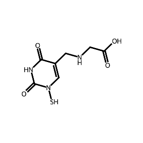 O=C(O)CNCc1cn(S)c(=O)[nH]c1=O